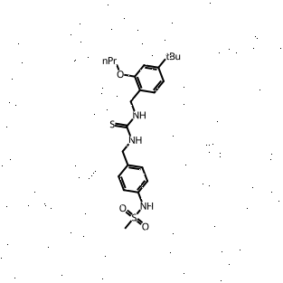 CCCOc1cc(C(C)(C)C)ccc1CNC(=S)NCc1ccc(NS(C)(=O)=O)cc1